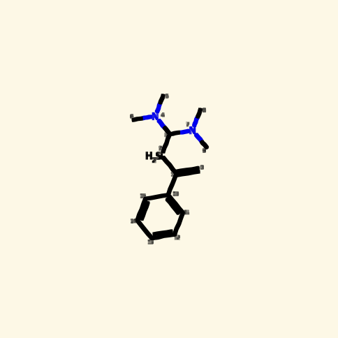 C=C([SiH2]C(N(C)C)N(C)C)c1ccccc1